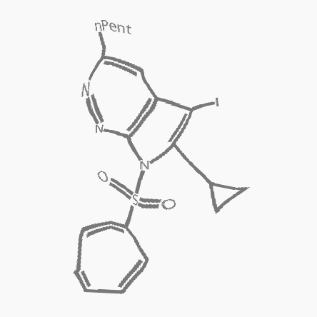 [CH2]CCCCc1cc2c(I)c(C3CC3)n(S(=O)(=O)c3ccccc3)c2nn1